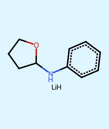 [LiH].c1ccc(NC2CCCO2)cc1